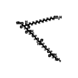 CC(C)(C)OC(=O)[C@H](CCC(=O)NCCOCCOCC(=O)NCCOCCOCC(=O)NCCN)NC(=O)CCCCCCCCCCCCCCC(=O)O